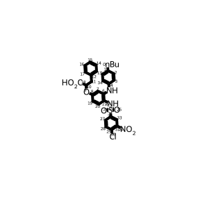 CCCCc1ccc(Nc2cc(OC(Cc3ccccc3)C(=O)O)ccc2NS(=O)(=O)c2ccc(Cl)c([N+](=O)[O-])c2)cc1